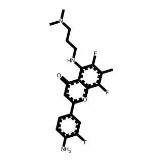 Cc1c(F)c(NCCCN(C)C)c2c(=O)cc(-c3ccc(N)c(F)c3)oc2c1F